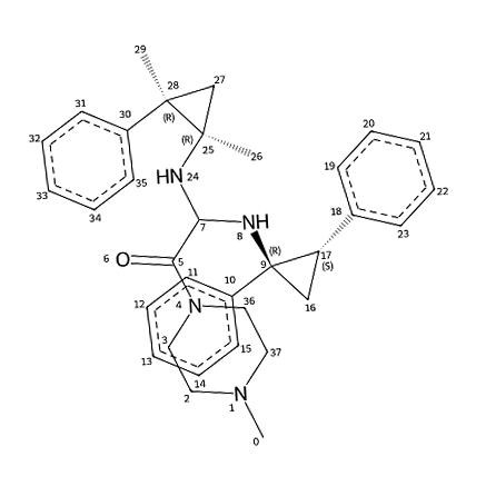 CN1CCN(C(=O)C(N[C@]2(c3ccccc3)C[C@H]2c2ccccc2)N[C@]2(C)C[C@]2(C)c2ccccc2)CC1